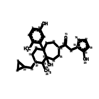 Cc1ccc(O)cc1C12CCN(C(=O)Cn3nccc3O)CCC1(O)C(C)N(CC1CC1)CC2